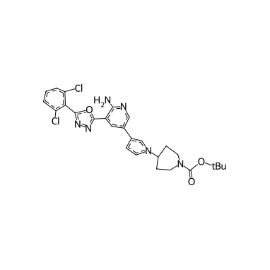 CC(C)(C)OC(=O)N1CCC(n2ccc(-c3cnc(N)c(-c4nnc(-c5c(Cl)cccc5Cl)o4)c3)c2)CC1